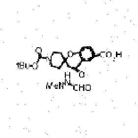 CC(C)(C)OC(=O)N1CCC2(CC1)CC(=O)c1cc(C(=O)O)ccc1O2.CNNC=O